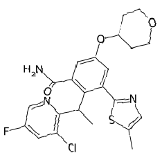 Cc1cnc(-c2cc(OC3CCOCC3)cc(C(N)=O)c2C(C)c2ncc(F)cc2Cl)s1